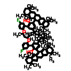 CC(CC(C)Oc1ccc(F)cc1-c1cc(C(C)(C)CC(C)(C)C)cc(-c2c3cc4c(cc3cc3cc5c(cc23)C(C)(C)CCC5(C)C)C(C)(C)CCC4(C)C)c1O)Oc1ccc(F)cc1-c1cc(C(C)(C)CC(C)(C)C)cc(-c2c3cc4c(cc3cc3cc5c(cc23)C(C)(C)CCC5(C)C)C(C)(C)CCC4(C)C)c1O